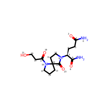 NC(=O)CC[C@@H](C(N)=O)N1CCC2(CCCN2C(=O)CCO)C1=O